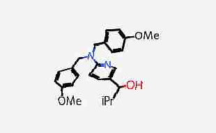 COc1ccc(CN(Cc2ccc(OC)cc2)c2ccc(C(O)C(C)C)cn2)cc1